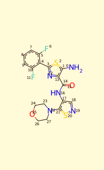 Nc1sc(-c2c(F)cccc2F)nc1C(=O)Nc1cnsc1N1CCOCC1